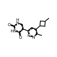 Cc1nnc(-c2c[nH]c(=O)[nH]c2=O)cc1C1CC(C)C1